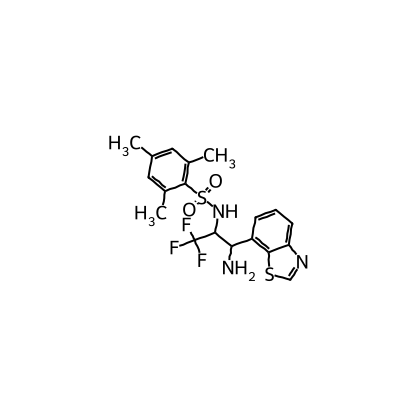 Cc1cc(C)c(S(=O)(=O)NC(C(N)c2cccc3ncsc23)C(F)(F)F)c(C)c1